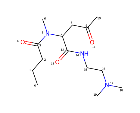 CCCC(=O)N(C)C(CC(C)=O)C(=O)NCCN(C)C